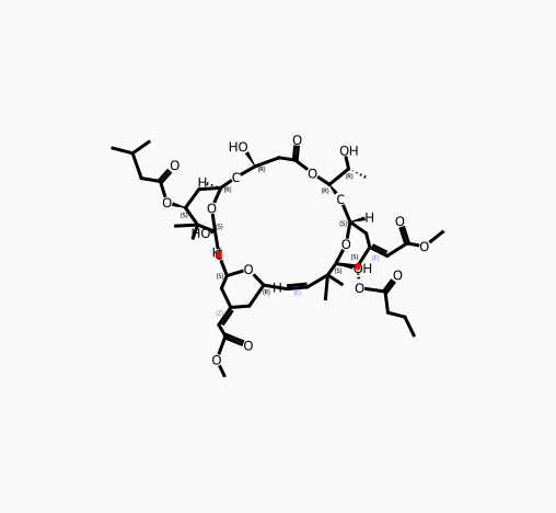 CCCC(=O)O[C@H]1/C(=C/C(=O)OC)C[C@H]2C[C@H]([C@@H](C)O)OC(=O)C[C@H](O)C[C@@H]3C[C@H](OC(=O)CC(C)C)C(C)(C)[C@](O)(C[C@@H]4C/C(=C/C(=O)OC)C[C@H](/C=C/C(C)(C)[C@]1(O)O2)O4)O3